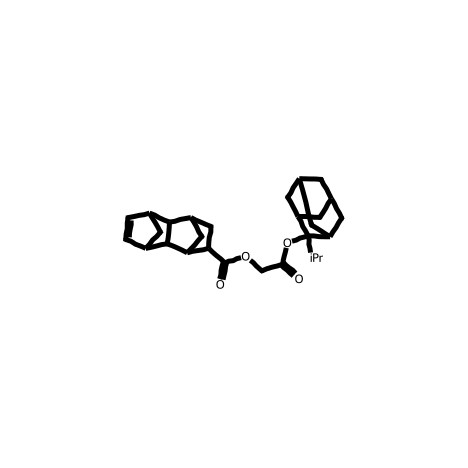 CC(C)C1(OC(=O)COC(=O)C2CC3CC2C2C4C=CC(C4)C32)C2CC3CC(C2)CC1C3